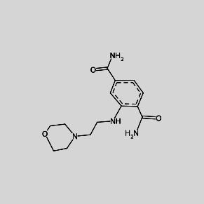 NC(=O)c1ccc(C(N)=O)c(NCCN2CCOCC2)c1